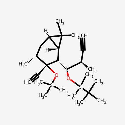 C#C[C@@H](C)[C@@H](O[Si](C)(C)C(C)(C)C)[C@H]1[C@@H]2[C@@H](C[C@@H](C)[C@@]1(C#C)O[Si](C)(C)C)C2(C)C